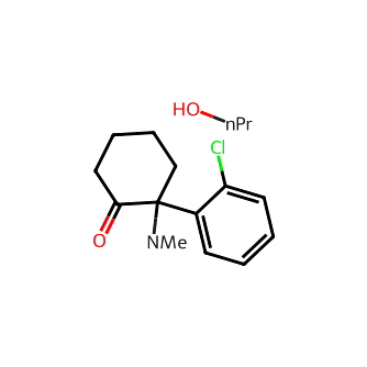 CCCO.CNC1(c2ccccc2Cl)CCCCC1=O